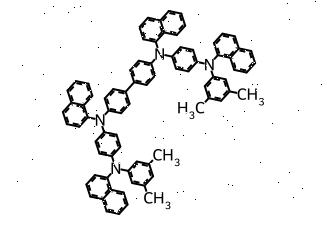 Cc1cc(C)cc(N(c2ccc(N(c3ccc(-c4ccc(N(c5ccc(N(c6cc(C)cc(C)c6)c6cccc7ccccc67)cc5)c5cccc6ccccc56)cc4)cc3)c3cccc4ccccc34)cc2)c2cccc3ccccc23)c1